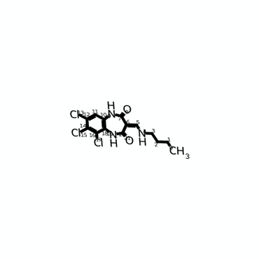 CCCCNC=C1C(=O)Nc2cc(Cl)c(Cl)c(Cl)c2NC1=O